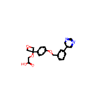 O=C(O)COC1(c2ccc(OCc3cccc(-c4cncnc4)c3)cc2)COC1